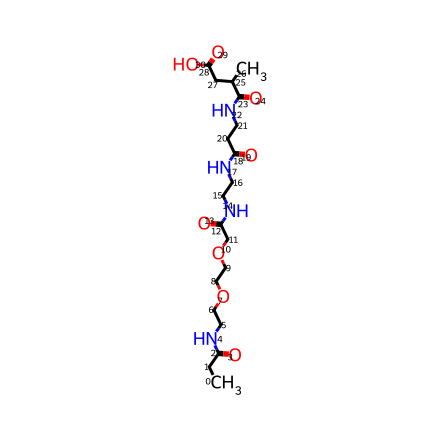 CCC(=O)NCCOCCOCC(=O)NCCNC(=O)CCNC(=O)C(C)CC(=O)O